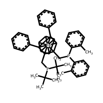 Cc1ccccc1P(C[C]12[CH]3[C]4(c5ccccc5)[C]5(c6ccccc6)[C]1(CP(C(C)(C)C)C(C)(C)C)[Fe]32451678[CH]2[CH]1[CH]6[CH]7[CH]28)c1ccccc1C